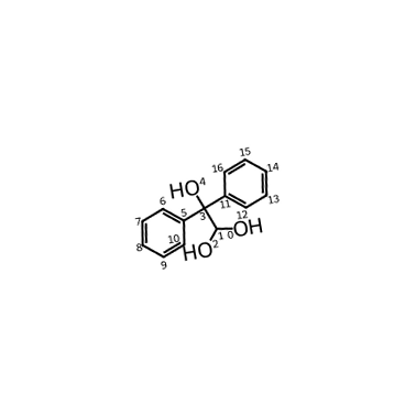 OC(O)C(O)(c1ccccc1)c1ccccc1